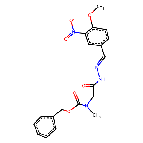 COc1ccc(C=NNC(=O)CN(C)C(=O)OCc2ccccc2)cc1[N+](=O)[O-]